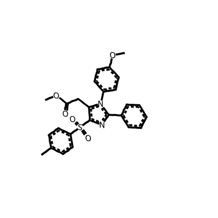 COC(=O)Cc1c(S(=O)(=O)c2ccc(C)cc2)nc(-c2ccccc2)n1-c1ccc(OC)cc1